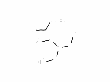 CC(C)(C)[O][Zr]([O]C(C)(C)C)[O]C(C)(C)C.CCOC(=O)CC(C)=O